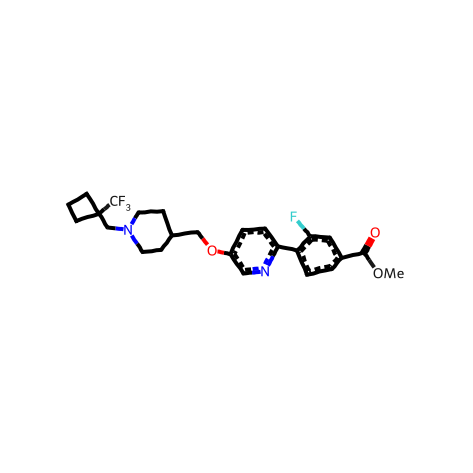 COC(=O)c1ccc(-c2ccc(OCC3CCN(CC4(C(F)(F)F)CCC4)CC3)cn2)c(F)c1